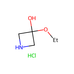 CCOC1(O)CNC1.Cl